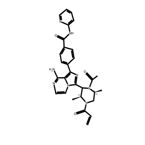 C=CC(=O)N1C[C@H](C)N(C(C)=O)C(c2nc(-c3ccc(C(=O)Nc4ccccn4)cc3)c3c(N)nccn23)[C@@H]1C